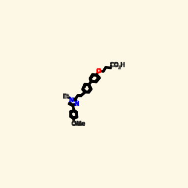 CCn1cc(-c2ccc(OC)cc2)nc1C=Cc1ccc(-c2ccc(OCCCC(=O)O)cc2)cc1